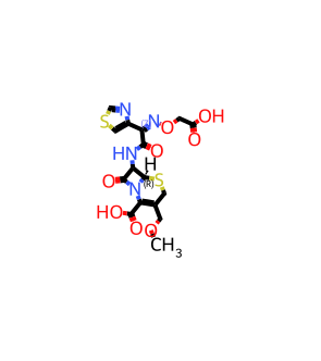 COCC1=C(C(=O)O)N2C(=O)C(NC(=O)/C(=N\OCC(=O)O)c3cscn3)[C@H]2SC1